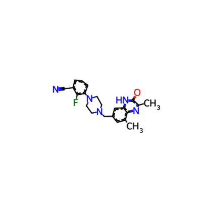 Cc1nc2c(C)cc(CN3CCN(c4cccc(C#N)c4F)CC3)cc2[nH]c1=O